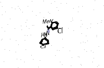 CNc1ccc(Cl)cc1/C(C)=N/Nc1ccc(Cl)cc1